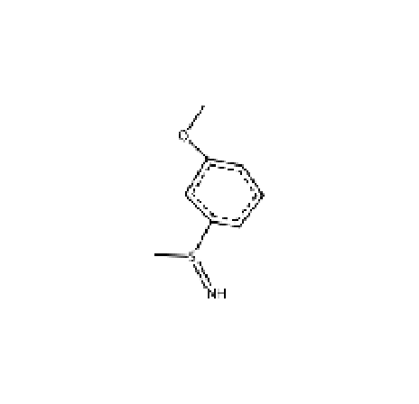 COc1cccc(S(C)=N)c1